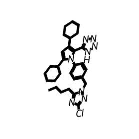 CCCCc1nc(Cl)nn1Cc1ccc(-n2c(C3CCCCC3)cc(C3CCCCC3)c2-c2nnn[nH]2)cc1